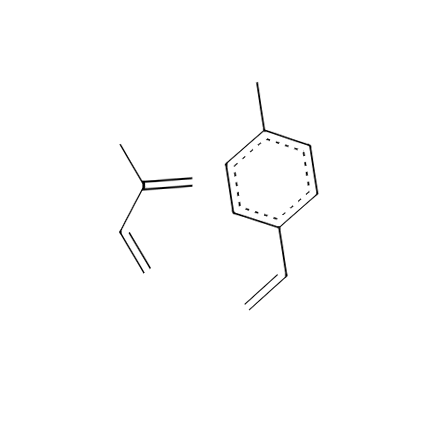 C=CC(=C)C.C=Cc1ccc(C)cc1